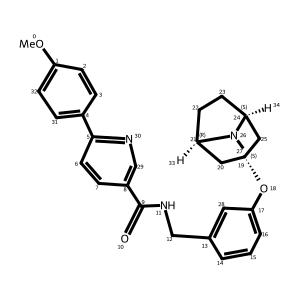 COc1ccc(-c2ccc(C(=O)NCc3cccc(O[C@@H]4C[C@H]5CC[C@@H](C4)N5C)c3)cn2)cc1